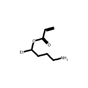 C=CC(=O)OC(CC)CCCN